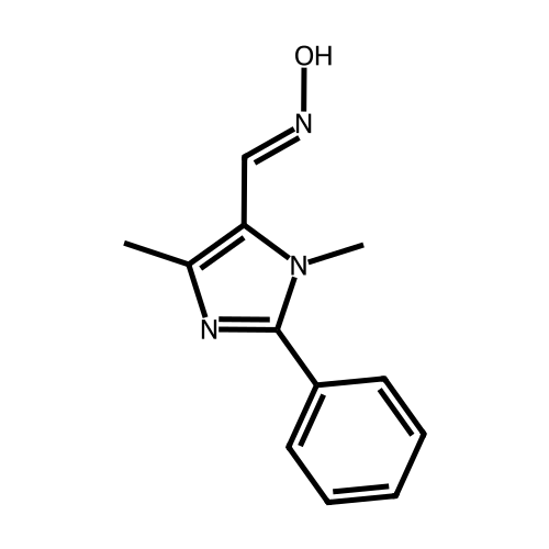 Cc1nc(-c2ccccc2)n(C)c1C=NO